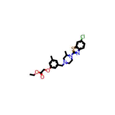 CCOC(=O)COc1cc(C)cc(CN2CCN(c3nc4ccc(Cl)cc4s3)C(C)C2)c1